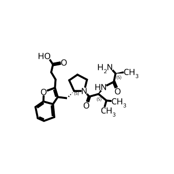 CC(C)[C@H](NC(=O)[C@H](C)N)C(=O)N1CCC[C@H]1Cc1c(CCC(=O)O)oc2ccccc12